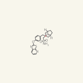 NS(=O)(=O)CC1C[C@H]2CC[C@@H](C1)N2CCc1ccc(Oc2nc3cccnc3s2)cc1